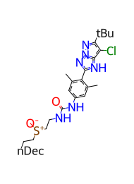 CCCCCCCCCCCC[S+]([O-])CCNC(=O)Nc1cc(C)c(-c2nn3nc(C(C)(C)C)c(Cl)c3[nH]2)c(C)c1